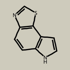 c1cc2c(ccc3ncsc32)[nH]1